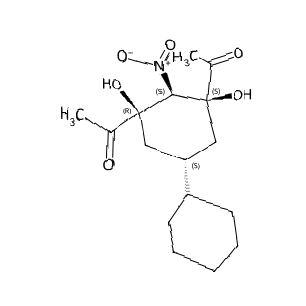 CC(=O)[C@]1(O)C[C@H](C2CCCCC2)C[C@](O)(C(C)=O)[C@H]1[N+](=O)[O-]